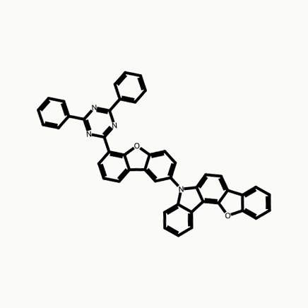 c1ccc(-c2nc(-c3ccccc3)nc(-c3cccc4c3oc3ccc(-n5c6ccccc6c6c7oc8ccccc8c7ccc65)cc34)n2)cc1